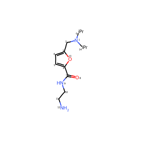 CC(C)N(Cc1ccc(C(=O)NCCN)o1)C(C)C